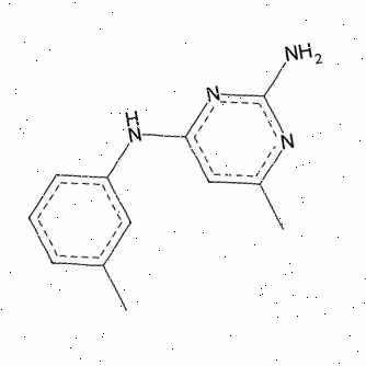 Cc1cccc(Nc2cc(C)nc(N)n2)c1